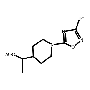 COC(C)C1CCN(c2nc(C(C)C)no2)CC1